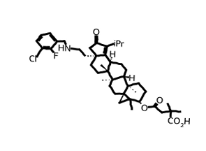 CC(C)C1=C2[C@H]3CC[C@@H]4[C@@]5(C)CC[C@H](OC(=O)CC(C)(C)C(=O)O)C6(C)C[C@]65CC[C@@]4(C)[C@]3(C)CC[C@@]2(CCNCc2cccc(Cl)c2F)CC1=O